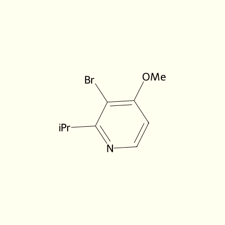 COc1ccnc(C(C)C)c1Br